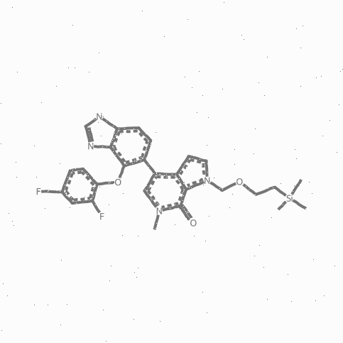 Cn1cc(-c2ccc3c(c2Oc2ccc(F)cc2F)N=C[N]3)c2ccn(COCC[Si](C)(C)C)c2c1=O